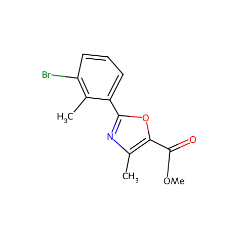 COC(=O)c1oc(-c2cccc(Br)c2C)nc1C